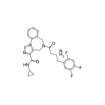 N[C@@H](CC(=O)N1Cc2ccccc2-n2cnc(C(=O)NC3CC3)c2C1)Cc1cc(F)c(F)cc1F